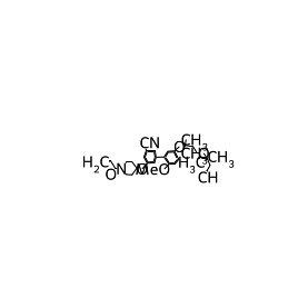 C#CCC(C)(C)OCCC(C)(C)Oc1ccc(OC)c(-c2cc(C#N)cc(OC3CCN(C(=O)C=C)CC3)c2)c1